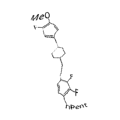 CCCCCc1ccc(CCC2CCC(c3ccc(OC)c(F)c3)CC2)c(F)c1F